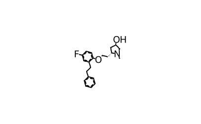 CN1C[C@H](O)C[C@H]1CCOc1ccc(F)cc1CCc1ccccc1